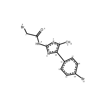 Cc1sc(NC(=O)CBr)nc1-c1ccc(Br)cc1